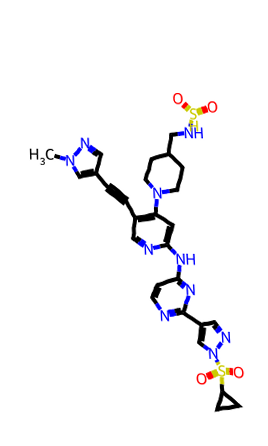 Cn1cc(C#Cc2cnc(Nc3ccnc(-c4cnn(S(=O)(=O)C5CC5)c4)n3)cc2N2CCC(CN[SH](=O)=O)CC2)cn1